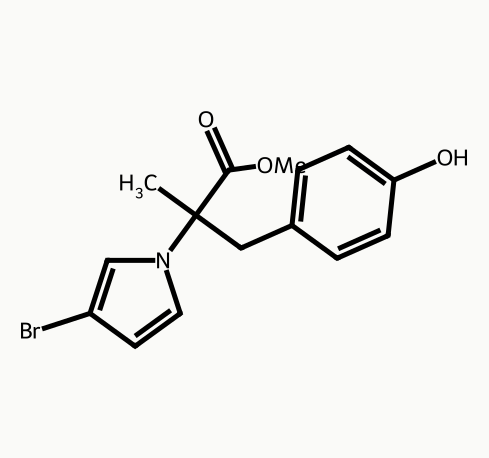 COC(=O)C(C)(Cc1ccc(O)cc1)n1ccc(Br)c1